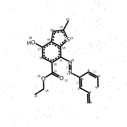 C=C/C=C(\C=C/C)/N=N/c1c(C(=O)OCC)cc(O)c2cc(C)sc12